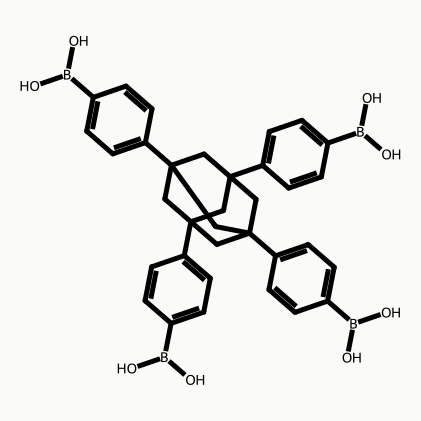 OB(O)c1ccc(C23CC4(c5ccc(B(O)O)cc5)CC(c5ccc(B(O)O)cc5)(C2)CC(c2ccc(B(O)O)cc2)(C3)C4)cc1